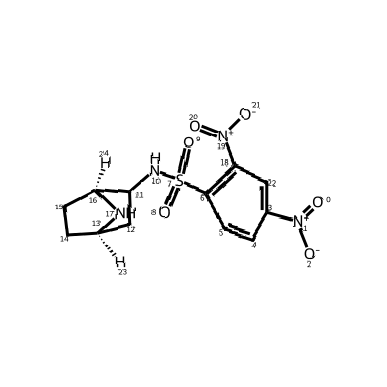 O=[N+]([O-])c1ccc(S(=O)(=O)NC2C[C@H]3CC[C@@H]2N3)c([N+](=O)[O-])c1